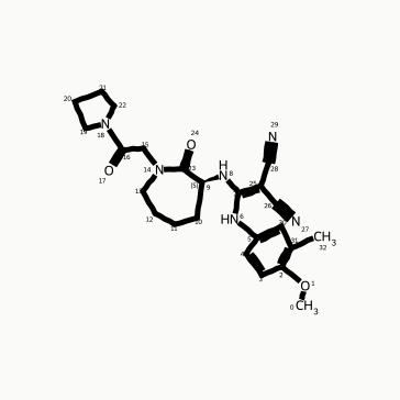 COc1ccc(NC(N[C@H]2CCCCN(CC(=O)N3CCCC3)C2=O)=C(C#N)C#N)cc1C